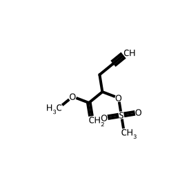 C#CCC(OS(C)(=O)=O)C(=C)OC